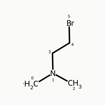 [CH2]N(C)CCBr